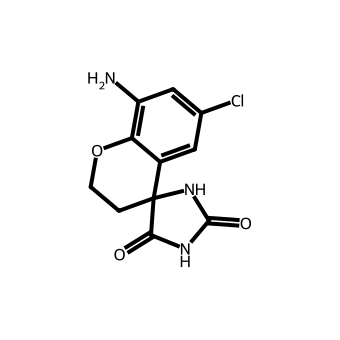 Nc1cc(Cl)cc2c1OCCC21NC(=O)NC1=O